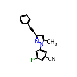 Cc1cc(C#Cc2ccccc2)nn1-c1cc(F)cc(C#N)c1